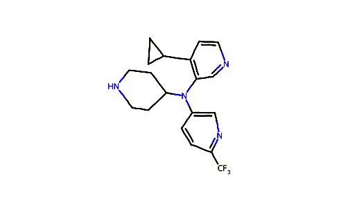 FC(F)(F)c1ccc(N(c2cnccc2C2CC2)C2CCNCC2)cn1